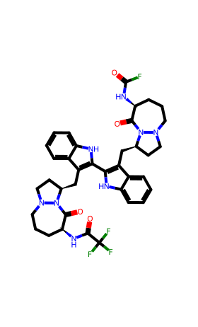 O=C(F)N[C@H]1CCCN2CC[C@@H](Cc3c(-c4[nH]c5ccccc5c4C[C@@H]4CCN5CCC[C@H](NC(=O)C(F)(F)F)C(=O)N45)[nH]c4ccccc34)N2C1=O